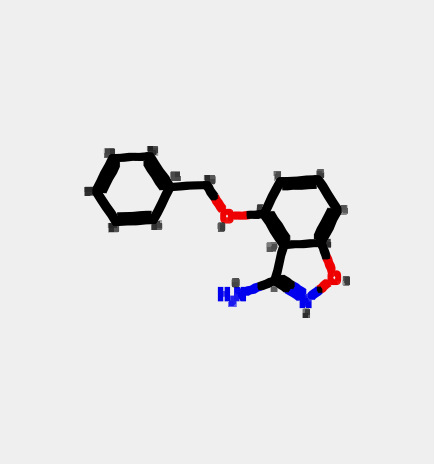 Nc1noc2cccc(OCc3ccccc3)c12